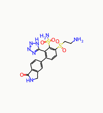 NCCS(=O)(=O)c1ccc(-c2ccc3c(c2)CNC3=O)c(-c2nnn[nH]2)c1S(N)(=O)=O